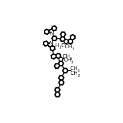 CC(C)c1cc(-c2ccc3cc(-c4ccc5ccccc5c4)ccc3c2)cc(-c2cc3c(c4ccccc24)-c2c(ccc4c(-c5ccc6c(c5)c5ccccc5n6-c5cc(-c6cc7c(c8ccccc68)-c6c(ccc8ccccc68)C7(C)C)cc(-n6c7ccccc7c7ccccc76)c5)cccc24)C3(C)C)c1